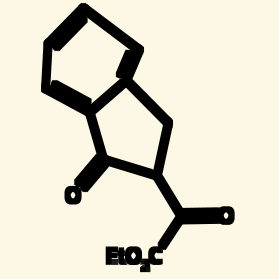 CCOC(=O)C(=O)C1Cc2ccccc2C1=O